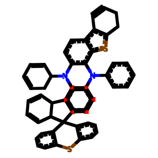 C1#Cc2c(sc3c(N(c4ccccc4)c4ccc5c(c4)C4C=CC=CC4C54c5ccccc5Sc5ccccc54)c(N(c4ccccc4)C4C=CC=CC4)ccc23)CC1